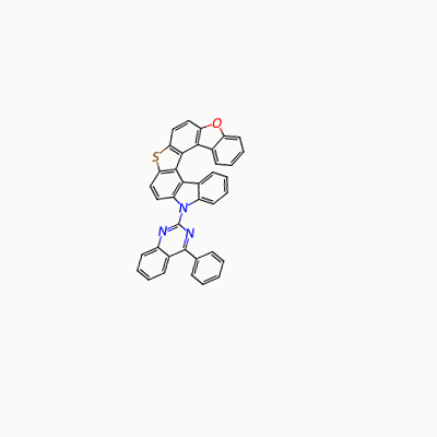 c1ccc(-c2nc(-n3c4ccccc4c4c5c(ccc43)sc3ccc4oc6ccccc6c4c35)nc3ccccc23)cc1